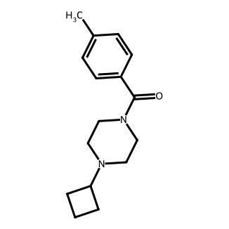 Cc1ccc(C(=O)N2CCN(C3CCC3)CC2)cc1